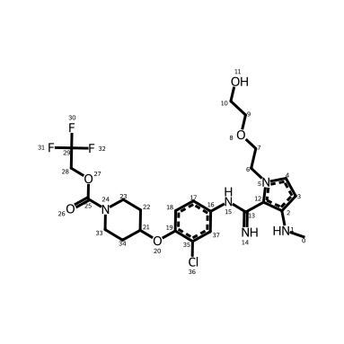 CNc1ccn(CCOCCO)c1C(=N)Nc1ccc(OC2CCN(C(=O)OCC(F)(F)F)CC2)c(Cl)c1